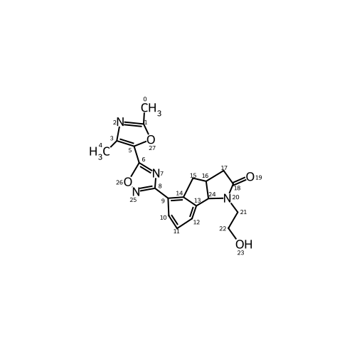 Cc1nc(C)c(-c2nc(-c3cccc4c3CC3CC(=O)N(CCO)C43)no2)o1